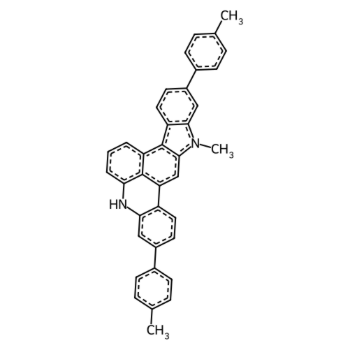 Cc1ccc(-c2ccc3c(c2)Nc2cccc4c2c-3cc2c4c3ccc(-c4ccc(C)cc4)cc3n2C)cc1